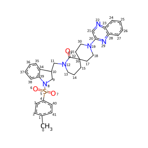 Cc1ccc(S(=O)(=O)N2CC(CN3CCCC4(CCN(c5cnc6ccccc6n5)CC4)C3=O)c3ccccc32)cc1